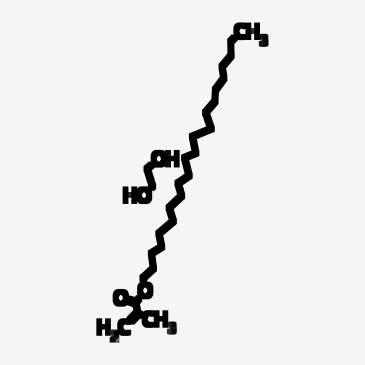 C=C(C)C(=O)OCCCCCCCCCCCCCCCCCCCCCC.OCCO